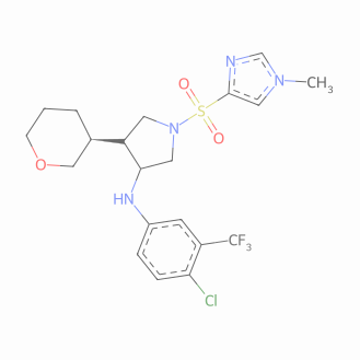 Cn1cnc(S(=O)(=O)N2CC(Nc3ccc(Cl)c(C(F)(F)F)c3)C([C@@H]3CCCOC3)C2)c1